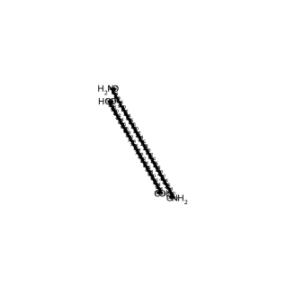 NC(=O)CCCCCCCCCCCCCCCCCCCCCCCCCCCCCCCCCCCCCCCCCCCCCCCCC(N)=O.O=C(O)CCCCCCCCCCCCCCCCCCCCCCCCCCCCCCCCCCCCCCCCC(=O)O